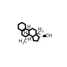 C#C[C@@H]1CC[C@H]2[C@@H]3[C@H](C)CC4=C(CCCC4)[C@H]3CC[C@]12C